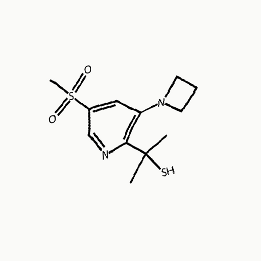 CC(C)(S)c1ncc(S(C)(=O)=O)cc1N1CCC1